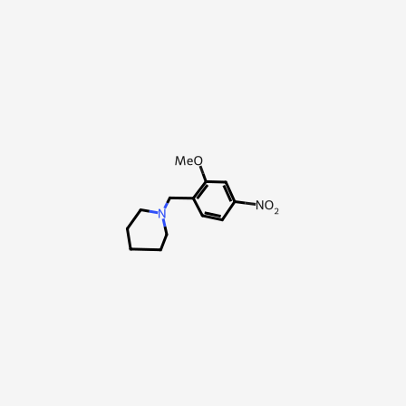 COc1cc([N+](=O)[O-])ccc1CN1CCCCC1